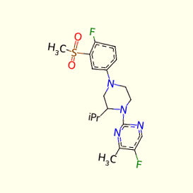 Cc1nc(N2CCN(c3ccc(F)c(S(C)(=O)=O)c3)CC2C(C)C)ncc1F